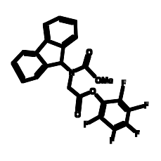 COC(=O)N(CC(=O)Oc1c(F)c(F)c(F)c(F)c1F)C1c2ccccc2-c2ccccc21